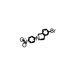 O=[N+]([O-])c1ccc(N2C=Cc3cc(Br)ccc3C2)cc1